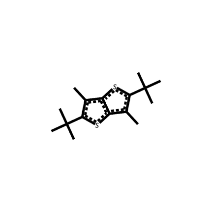 Cc1c(C(C)(C)C)sc2c(C)c(C(C)(C)C)sc12